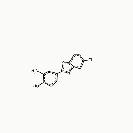 Nc1cc(-c2nc3cc(Cl)ccc3s2)ccc1O